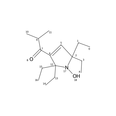 CCC1(CC)C=C(C(=O)C(C)C)C(CC)(CC)N1O